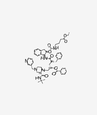 CCOC(=O)CCCNC(=O)O[C@@H]1Cc2ccccc2[C@@H]1NC(=O)[C@H](Cc1ccccc1)C[C@@H](CN1CCN(Cc2cccnc2)C[C@H]1C(=O)NC(C)(C)C)OC(=O)c1ccccc1